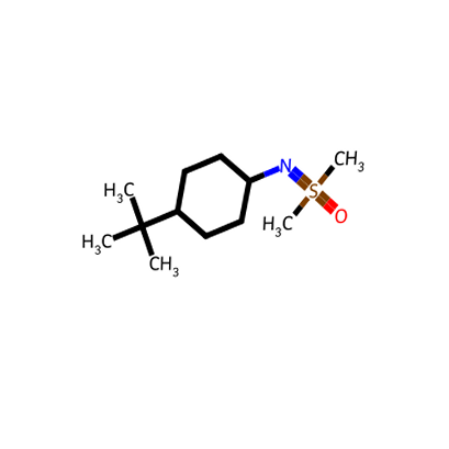 CC(C)(C)C1CCC(N=S(C)(C)=O)CC1